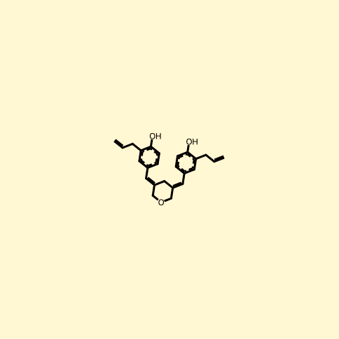 C=CCc1cc(/C=C2/COC/C(=C/c3ccc(O)c(CC=C)c3)C2)ccc1O